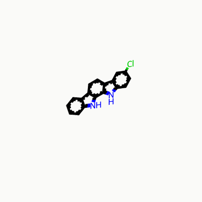 Clc1ccc2[nH]c3c(ccc4c5ccccc5[nH]c43)c2c1